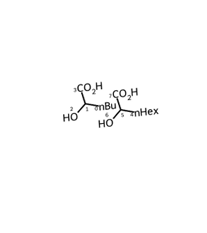 CCCCC(O)C(=O)O.CCCCCCC(O)C(=O)O